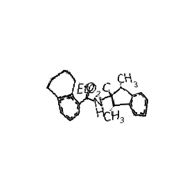 CCOC(=O)C1(NC(=O)c2cccc3c2CCCC3)[C@H](C)c2ccccc2[C@@H]1C